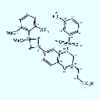 COc1cccc(C(F)(F)F)c1C1(OC)CN(c2ccc3c(c2)N(S(=O)(=O)c2cccc(C(F)(F)F)c2)C[C@@H](CCC(=O)O)O3)C1